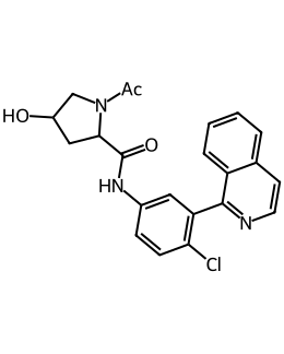 CC(=O)N1CC(O)CC1C(=O)Nc1ccc(Cl)c(-c2nccc3ccccc23)c1